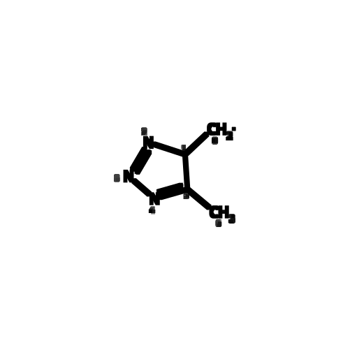 [CH2]C1N=NN=C1C